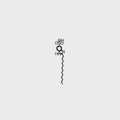 CCCCCCCCCCCCCc1nc2cc(S(=O)(=O)O)ccc2[nH]1